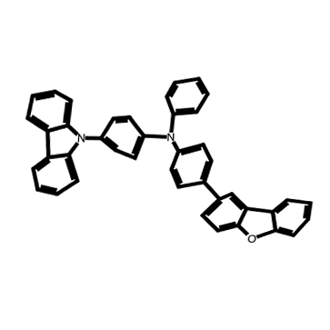 c1ccc(N(c2ccc(-c3ccc4oc5ccccc5c4c3)cc2)c2ccc(-n3c4ccccc4c4ccccc43)cc2)cc1